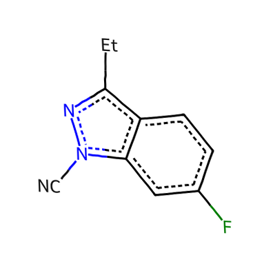 CCc1nn(C#N)c2cc(F)ccc12